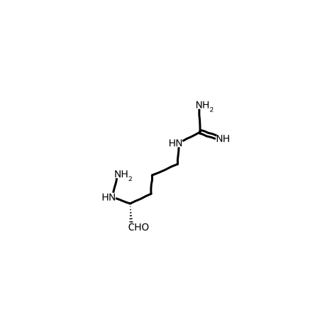 N=C(N)NCCC[C@H](C=O)NN